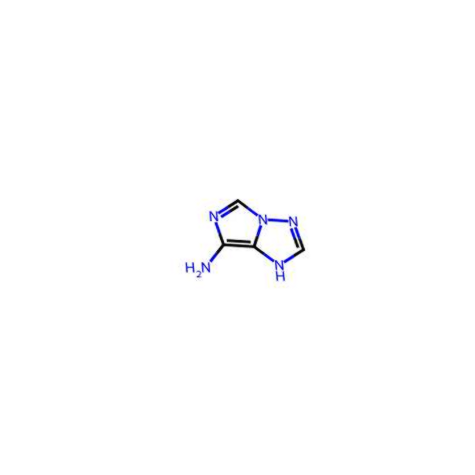 Nc1ncn2nc[nH]c12